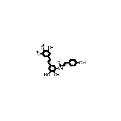 COc1cc(/C=C/c2cc(O)c(OC)c(NC(=O)/C=C/c3ccc(O)cc3)c2)cc(OC)c1OC